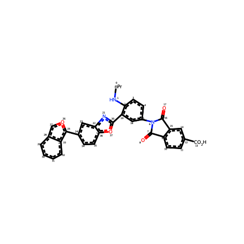 CCCNc1ccc(N2C(=O)c3ccc(C(=O)O)cc3C2=O)cc1-c1nc2cc(-c3occ4ccccc34)ccc2o1